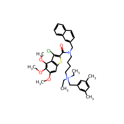 CC[N+](CC)(CCCCN(Cc1ccc2ccccc2c1)C(=O)c1sc2cc(OC)c(OC)c(OC)c2c1Cl)Cc1cc(C)cc(C)c1